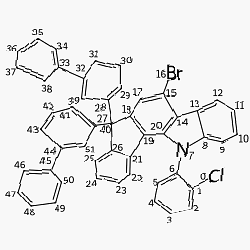 Clc1ccccc1-n1c2ccccc2c2c(Br)cc3c(c21)-c1ccccc1C3(c1cccc(-c2ccccc2)c1)c1cccc(-c2ccccc2)c1